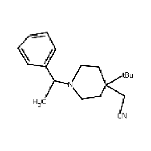 CC(c1ccccc1)N1CCC(CC#N)(C(C)(C)C)CC1